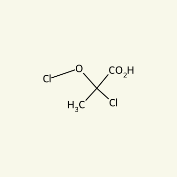 CC(Cl)(OCl)C(=O)O